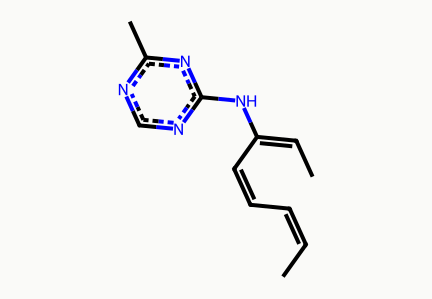 C\C=C/C=C\C(=C/C)Nc1ncnc(C)n1